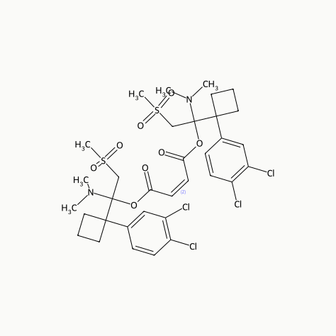 CN(C)C(CS(C)(=O)=O)(OC(=O)/C=C\C(=O)OC(CS(C)(=O)=O)(N(C)C)C1(c2ccc(Cl)c(Cl)c2)CCC1)C1(c2ccc(Cl)c(Cl)c2)CCC1